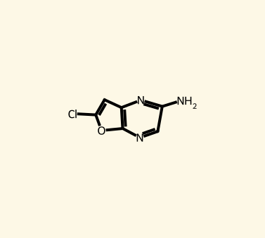 Nc1cnc2oc(Cl)cc2n1